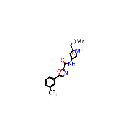 COC[C@@H]1CC(NC(=O)c2ncc(-c3cccc(C(F)(F)F)c3)o2)CN1